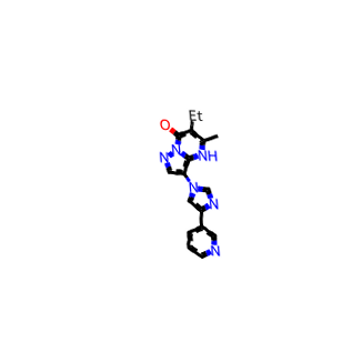 CCc1c(C)[nH]c2c(-n3cnc(-c4cccnc4)c3)cnn2c1=O